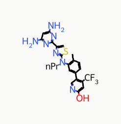 CCCN(c1nc(-c2nc(N)cc(N)n2)cs1)c1cc(-c2cnc(O)cc2C(F)(F)F)ccc1C